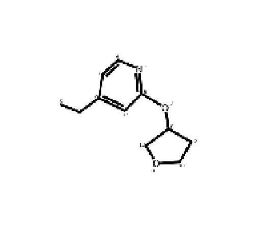 CCc1ccnc(OC2CCOC2)c1